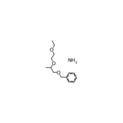 CCOCCOC(C)COCc1ccccc1.N